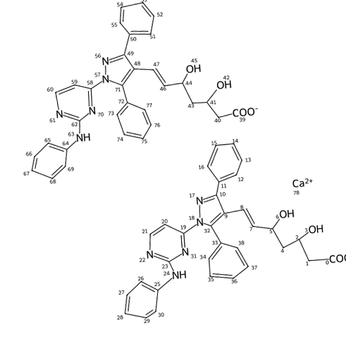 O=C([O-])CC(O)CC(O)/C=C/c1c(-c2ccccc2)nn(-c2ccnc(Nc3ccccc3)n2)c1-c1ccccc1.O=C([O-])CC(O)CC(O)C=Cc1c(-c2ccccc2)nn(-c2ccnc(Nc3ccccc3)n2)c1-c1ccccc1.[Ca+2]